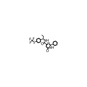 CCC(NC(=O)c1cc(=O)[nH]c(-c2ccccc2)n1)c1ccc(SC(F)(F)F)cc1